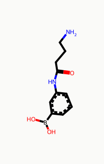 NCCCC(=O)Nc1cccc(B(O)O)c1